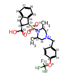 CC1CN(Cc2ccc(OC(F)(F)F)cc2)CC(C)N1S(=O)(=O)[C@@H]1c2ccccc2C[C@@H]1C(=O)O